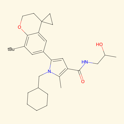 Cc1c(C(=O)NCC(C)O)cc(-c2cc(C(C)(C)C)c3c(c2)C2(CCO3)CC2)n1CC1CCCCC1